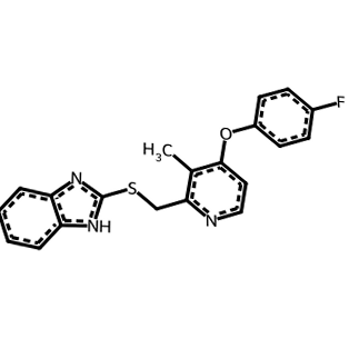 Cc1c(Oc2ccc(F)cc2)ccnc1CSc1nc2ccccc2[nH]1